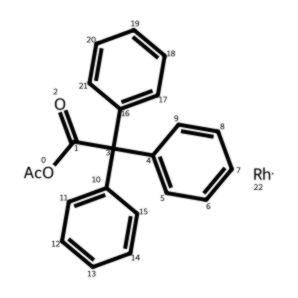 CC(=O)OC(=O)C(c1ccccc1)(c1ccccc1)c1ccccc1.[Rh]